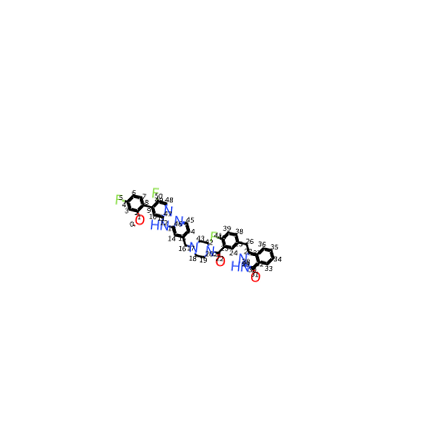 COc1cc(F)ccc1-c1cc(Nc2cc(CN3CCN(C(=O)c4cc(Cc5n[nH]c(=O)c6ccccc56)ccc4F)CC3)ccn2)ncc1F